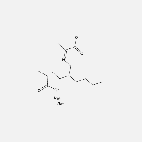 CCC(=O)[O-].CCCCC(CC)CN=C(C)C(=O)[O-].[Na+].[Na+]